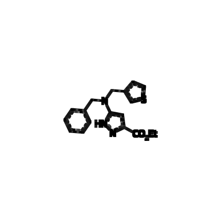 CCOC(=O)c1cc(N(Cc2ccccc2)Cc2ccsc2)[nH]n1